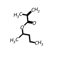 C=C(C)C(=O)OC(C)CCC